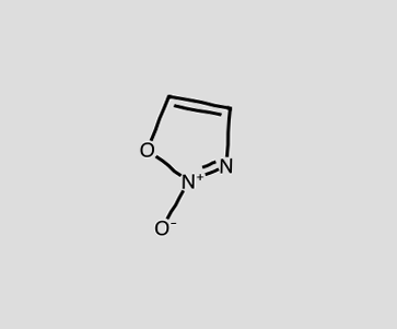 [O-][n+]1ncco1